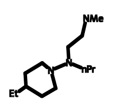 CCCN(CCNC)N1CCC(CC)CC1